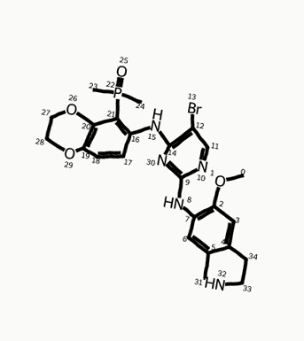 COc1cc2c(cc1Nc1ncc(Br)c(Nc3ccc4c(c3P(C)(C)=O)OCCO4)n1)CNCC2